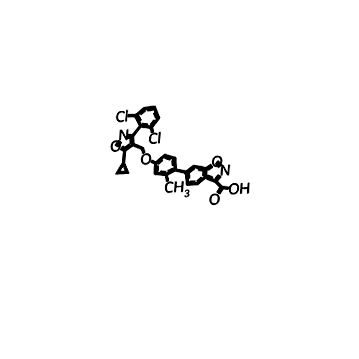 Cc1cc(OCc2c(-c3c(Cl)cccc3Cl)noc2C2CC2)ccc1-c1ccc2c(C(=O)O)noc2c1